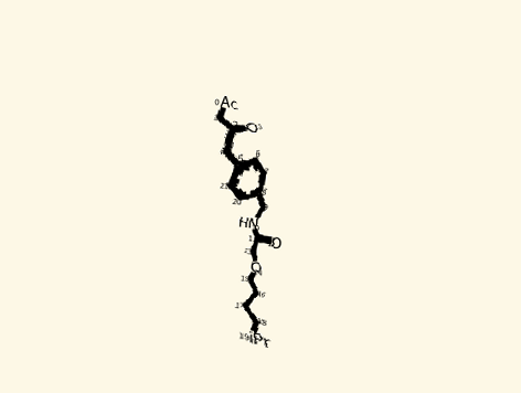 CC(=O)CC(=O)Cc1ccc(CNC(=O)COCCCCC(C)C)cc1